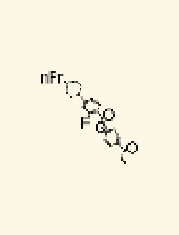 C=CC(=O)c1ccc(OC(=O)c2ccc(C3CCC(CCC)CC3)cc2F)cc1